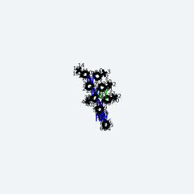 CC(C)(C)c1ccc(N(c2ccc(C(C)(C)C)cc2)c2cccc(N(c3ccc(C(C)(C)C)cc3)c3cc(C(C)(C)C)cc(N(c4ccc(C(C)(C)C)cc4)c4ccc5nn(-c6ccccc6)nc5c4)c3Cl)c2)cc1